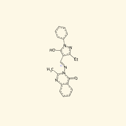 CCc1nn(-c2ccccc2)c(O)c1/C=N/n1c(C)nc2ccccc2c1=O